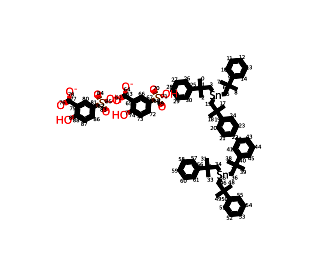 CC(C)([CH2][Sn+]([CH2]C(C)(C)c1ccccc1)[CH2]C(C)(C)c1ccccc1)c1ccccc1.CC(C)([CH2][Sn+]([CH2]C(C)(C)c1ccccc1)[CH2]C(C)(C)c1ccccc1)c1ccccc1.O=C([O-])c1cc(S(=O)(=O)O)ccc1O.O=C([O-])c1cc(S(=O)(=O)O)ccc1O